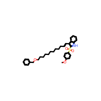 COc1ccc(S(=O)(=O)c2[nH]c3ccccc3c2C=CCCCCCCCCCCOCc2ccccc2)cc1